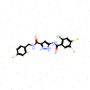 O=C(NCc1ccc(F)cc1)c1cc(NC(=O)c2cc(F)c(F)cc2Cl)[nH]n1